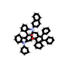 c1ccc(-c2c(-c3ccccc3)c3cc(N(c4ccc5ccccc5c4)c4ccccc4-c4cccc5c4c4ccccc4n5-c4ccccc4)ccc3c3ccccc23)cc1